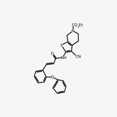 CCOC(=O)N1CCc2c(sc(NC(=O)C=Cc3ccccc3Oc3ccccc3)c2C#N)C1